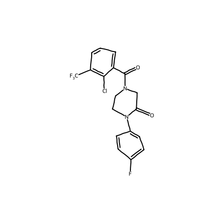 O=C(c1cccc(C(F)(F)F)c1Cl)N1CCN(c2ccc(F)cc2)C(=O)C1